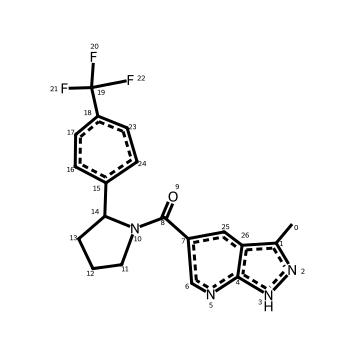 Cc1n[nH]c2ncc(C(=O)N3CCCC3c3ccc(C(F)(F)F)cc3)cc12